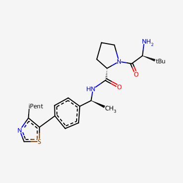 CCCC(C)c1ncsc1-c1ccc([C@H](C)NC(=O)[C@@H]2CCCN2C(=O)[C@@H](N)C(C)(C)C)cc1